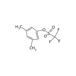 Cc1cc(C)cc(OS(=O)(=O)C(F)(F)F)c1